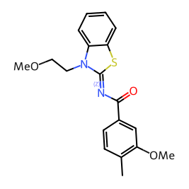 COCCn1/c(=N/C(=O)c2ccc(C)c(OC)c2)sc2ccccc21